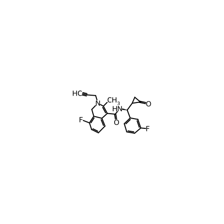 C#CCN1Cc2c(F)cccc2C(C(=O)N[C@H](c2cccc(F)c2)C2CC2=O)=C1C